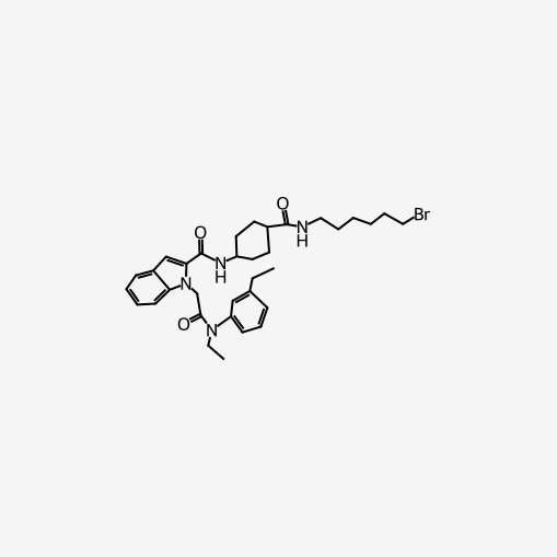 CCc1cccc(N(CC)C(=O)Cn2c(C(=O)NC3CCC(C(=O)NCCCCCCBr)CC3)cc3ccccc32)c1